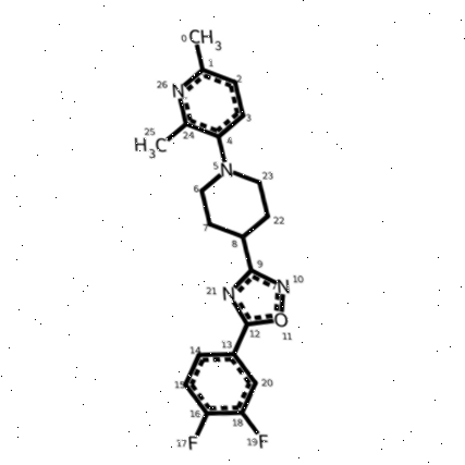 Cc1ccc(N2CCC(c3noc(-c4ccc(F)c(F)c4)n3)CC2)c(C)n1